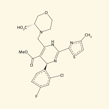 COC(=O)C1=C(CN2CCOC[C@H]2C(=O)O)NC(c2nc(C)cs2)=N[C@H]1c1ccc(F)cc1Cl